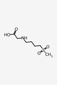 CS(=O)(=O)CCCCNCC(=O)O